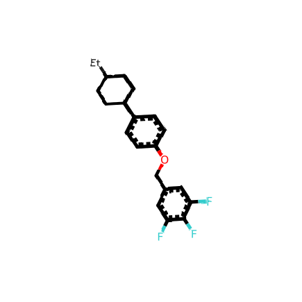 CCC1CCC(c2ccc(OCc3cc(F)c(F)c(F)c3)cc2)CC1